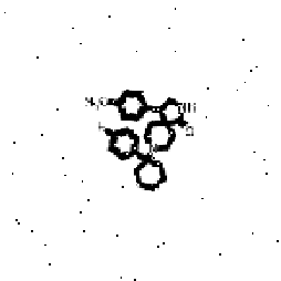 Cc1ccc(C2CNC(=O)C23CCN(C2(c4ccc(F)cc4)CCCCC2)CC3)cc1